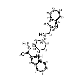 CCN(C(=O)c1cc2ccccc2[nH]1)[C@H]1CCC[C@@H](NCc2nc3ccccc3s2)C1